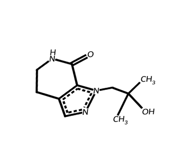 CC(C)(O)Cn1ncc2c1C(=O)NCC2